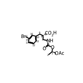 CC(=O)O[C@@H](C)OC(=O)NC[C@H](Cc1cccc(Br)c1)C(=O)O